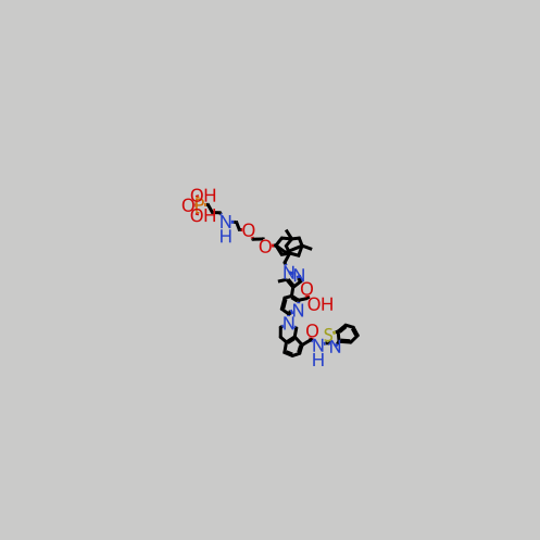 Cc1c(-c2ccc(N3CCc4cccc(C(=O)Nc5nc6ccccc6s5)c4C3)nc2C(=O)O)cnn1CC12CC3(C)CC(C)(C1)CC(OCCOCCNCCCP(=O)(O)O)(C3)C2